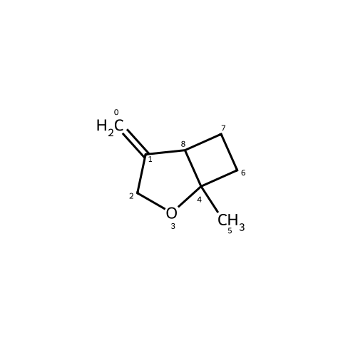 C=C1COC2(C)CCC12